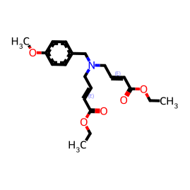 CCOC(=O)/C=C/CN(C/C=C/C(=O)OCC)Cc1ccc(OC)cc1